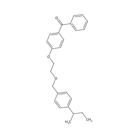 CCC(C)c1ccc(COCCOc2ccc(C(=O)c3ccccc3)cc2)cc1